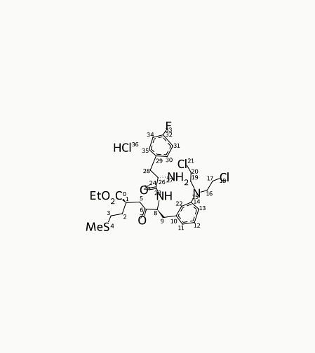 CCOC(=O)[C@H](CCSC)CC(=O)[C@H](Cc1cccc(N(CCCl)CCCl)c1)NC(=O)[C@@H](N)Cc1ccc(F)cc1.Cl